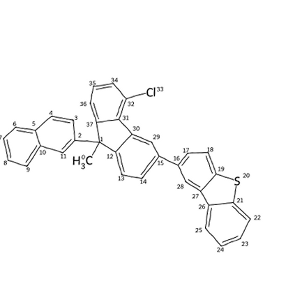 CC1(c2ccc3ccccc3c2)c2ccc(-c3ccc4sc5ccccc5c4c3)cc2-c2c(Cl)cccc21